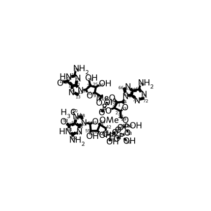 COC1C(OP(=O)(O)OCC2OC(n3cnc4c(=O)[nH]c(N)nc43)C(O)C2O)C(COP(=O)(O)OP(=O)(O)OP(=O)(O)OCC2(OC)OC(n3c[n+](C)c4c(=O)[nH]c(N)nc43)C(O)C2O)OC1n1cnc2c(N)ncnc21